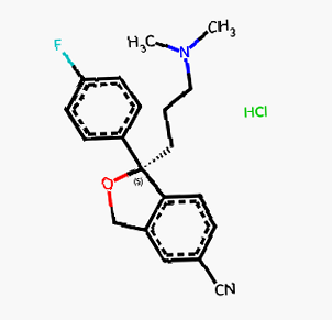 CN(C)CCC[C@@]1(c2ccc(F)cc2)OCc2cc(C#N)ccc21.Cl